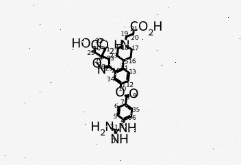 N=C(N)Nc1ccc(C(=O)Oc2ccc(C3CCN(CCC(=O)O)CC3)c(C3=NOC(CC(=O)O)(CC(=O)O)C3)c2)cc1